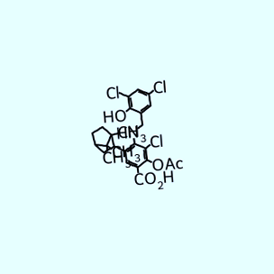 CC(=O)Oc1c(C(=O)O)cc(C2CC3CCC2(C)C3(C)C)c(NCc2cc(Cl)cc(Cl)c2O)c1Cl